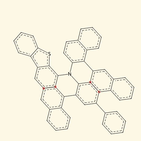 c1ccc(-c2ccc(N(c3ccc4ccccc4c3-c3ccc4ccccc4c3)c3cccc4c3sc3ccccc34)c(-c3cccc4ccccc34)c2)cc1